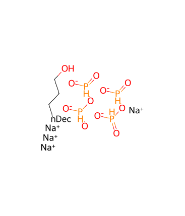 CCCCCCCCCCCCCO.O=[PH]([O-])O[PH](=O)[O-].O=[PH]([O-])O[PH](=O)[O-].[Na+].[Na+].[Na+].[Na+]